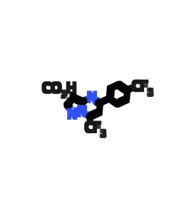 O=C(O)c1cnn2c(C(F)(F)F)cc(-c3ccc(C(F)(F)F)cc3)nc12